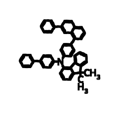 CC1(C)c2ccccc2-c2c(N(c3ccc(-c4ccccc4)cc3)c3ccc(-c4cccc5ccc(-c6ccccc6)cc45)cc3)cccc21